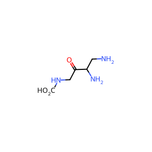 NCC(N)C(=O)CNC(=O)O